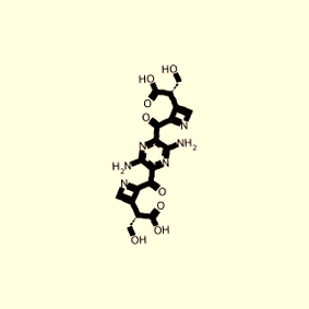 Nc1nc(C(=O)C2=NC=C2[C@@H](CO)C(=O)O)c(N)nc1C(=O)C1=NC=C1[C@@H](CO)C(=O)O